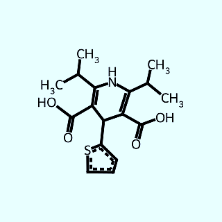 CC(C)C1=C(C(=O)O)C(c2cccs2)C(C(=O)O)=C(C(C)C)N1